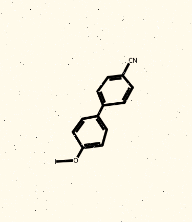 N#Cc1ccc(-c2ccc(OI)cc2)cc1